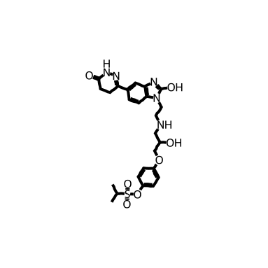 CC(C)S(=O)(=O)Oc1ccc(OCC(O)CNCCn2c(O)nc3cc(C4=NNC(=O)CC4)ccc32)cc1